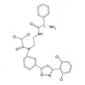 N[C@H](C(=O)NCCN(C(=O)C(Cl)Cl)c1cccc(-c2cc(-c3c(Cl)cccc3Cl)no2)c1)c1ccccc1